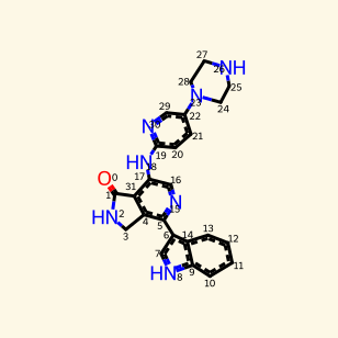 O=C1NCc2c(-c3c[nH]c4ccccc34)ncc(Nc3ccc(N4CCNCC4)cn3)c21